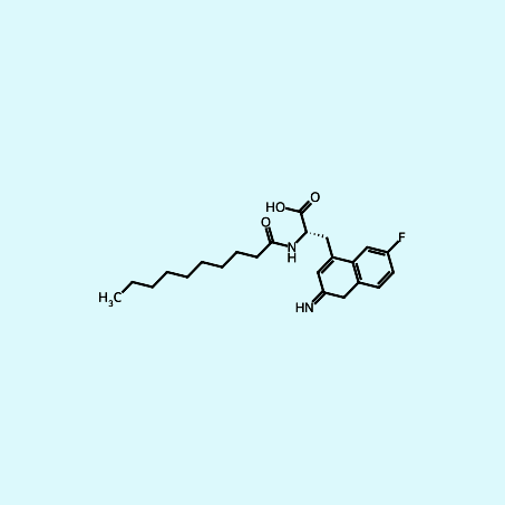 CCCCCCCCCC(=O)N[C@@H](CC1=CC(=N)Cc2ccc(F)cc21)C(=O)O